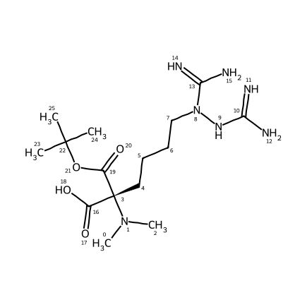 CN(C)[C@](CCCCN(NC(=N)N)C(=N)N)(C(=O)O)C(=O)OC(C)(C)C